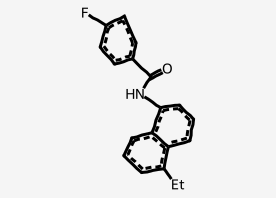 CCc1cccc2c(NC(=O)c3ccc(F)cc3)cccc12